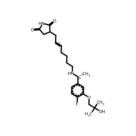 C[C@@H](NCCCC/C=C/CC1CC(=O)NC1=O)c1ccc(F)c(OCC(C)(C)O)c1